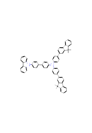 CC1(C)c2ccccc2-c2ccc(-c3ccc(N(c4ccc(-c5ccc(-n6c7ccccc7c7ccccc76)cc5)cc4)c4ccc(-c5ccc6c(c5)C(C)(C)c5ccccc5-6)cc4)cc3)cc21